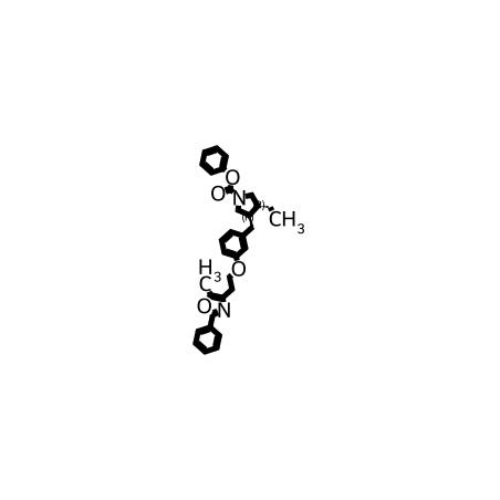 CC[C@H]1CN(C(=O)Oc2ccccc2)C[C@@H]1Cc1cccc(OCCc2nc(-c3ccccc3)oc2C)c1